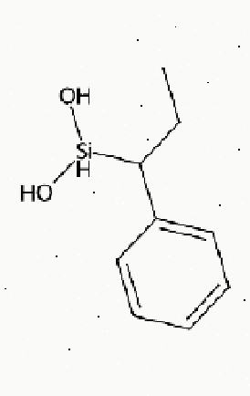 CCC(c1ccccc1)[SiH](O)O